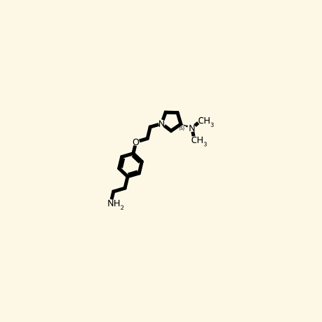 CN(C)[C@H]1CCN(CCOc2ccc(CCN)cc2)C1